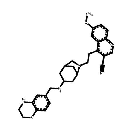 COc1ccc2ncc(C#N)c(CCN3CC4CC(NCc5ccc6c(c5)NCCS6)CC3C4)c2c1